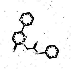 O=C(Cn1nc(-c2ccccn2)ccc1=O)Nc1ccccc1